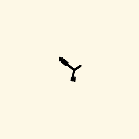 CC([Si])C#N